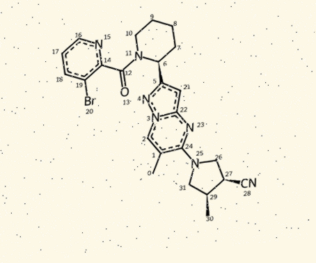 Cc1cn2nc([C@@H]3CCCCN3C(=O)c3ncccc3Br)cc2nc1N1C[C@@H](C#N)[C@@H](C)C1